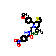 COc1ccc(C2c3sccc3CC(C)N2CCNC(=O)c2ccc([N+](=O)[O-])cc2)cc1.Cl